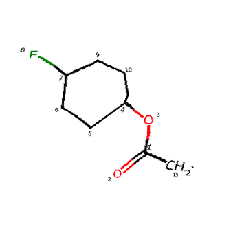 [CH2]C(=O)OC1CCC(F)CC1